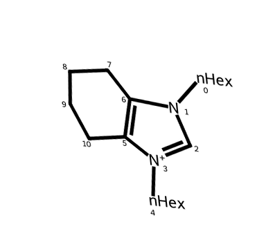 CCCCCCn1c[n+](CCCCCC)c2c1CCCC2